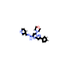 C(=N\Nc1cc(N2CCOCC2)n2nc(-c3ccccc3)cc2n1)/c1cccnc1